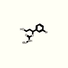 CC(C)(C)NC(=O)OC(CCO)c1cccc(Br)c1